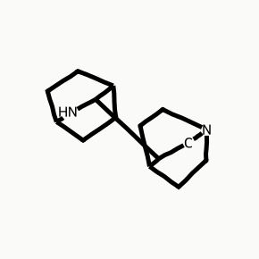 C1CC2CCC1NC2C1CN2CCC1CC2